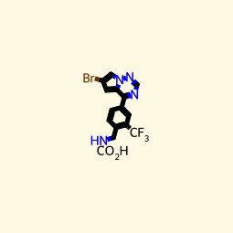 O=C(O)NCc1ccc(-c2ncnn3cc(Br)cc23)cc1C(F)(F)F